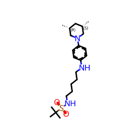 C[C@@H]1C[C@H](C)CN(c2ccc(NCCCCCNS(=O)(=O)C(C)(C)C)cc2)C1